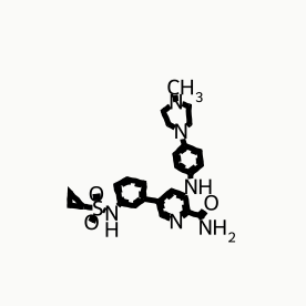 CN1CCN(c2ccc(Nc3cc(-c4cccc(NS(=O)(=O)C5CC5)c4)cnc3C(N)=O)cc2)CC1